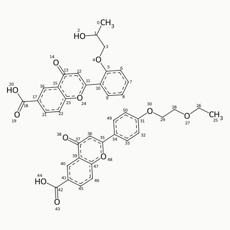 CC(O)COc1ccccc1-c1cc(=O)c2cc(C(=O)O)ccc2o1.CCOCCOc1ccc(-c2cc(=O)c3cc(C(=O)O)ccc3o2)cc1